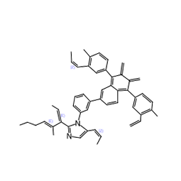 C=Cc1cc(-c2c(=C)c(=C)c(-c3ccc(C)c(/C=C\C)c3)c3cc(-c4cccc(-n5c(/C=C\C)cnc5C(=C/C)/C(C)=C/CCC)c4)ccc23)ccc1C